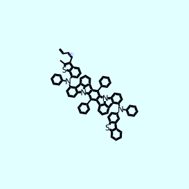 C=C/C=C\c1c(C)sc2c(N(c3ccccc3)c3cccc4c3c3cccc5c6c(-c7ccccc7)c7c(c(-c8ccccc8)c6n4c35)c3cccc4c5c(N(c6ccccc6)c6ccc8sc9ccccc9c8c6)cccc5n7c43)cccc12